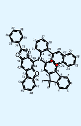 CC1(C)c2ccccc2-c2ccc(N(c3ccccc3-c3ccc4ccccc4c3)c3c4nc(-c5ccccc5)oc4cc4c3oc3ccccc34)cc21